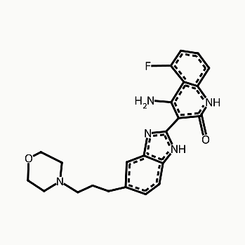 Nc1c(-c2nc3cc(CCCN4CCOCC4)ccc3[nH]2)c(=O)[nH]c2cccc(F)c12